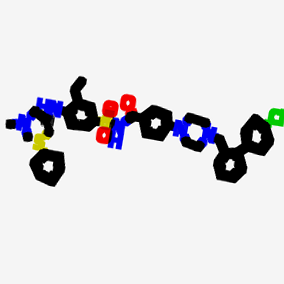 CCc1cc(S(=O)(=O)NC(=O)c2ccc(N3CCN(Cc4ccccc4-c4ccc(Cl)cc4)CC3)cc2)ccc1N[C@@H](CSc1ccccc1)CN(C)C